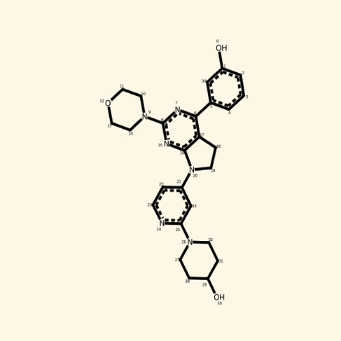 Oc1cccc(-c2nc(N3CCOCC3)nc3c2CCN3c2ccnc(N3CCC(O)CC3)c2)c1